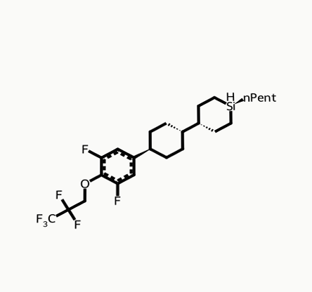 CCCCC[Si@H]1CC[C@H]([C@H]2CC[C@H](c3cc(F)c(OCC(F)(F)C(F)(F)F)c(F)c3)CC2)CC1